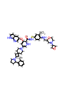 CC(C)c1ccccc1C1CCCN1C1CC2(CCN(C3=CNC(C(=O)NSc4ccc(NCC5CN(C6COC6)CCO5)c([N+](=O)[O-])c4)C(Oc4cnc5[nH]ccc5c4)=C3)CC2)C1